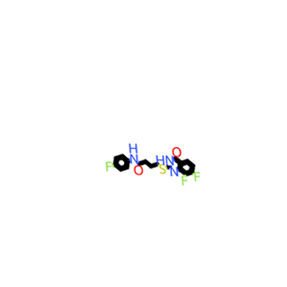 O=C(CCCSc1nc2c(F)c(F)ccc2c(=O)[nH]1)Nc1ccc(F)cc1